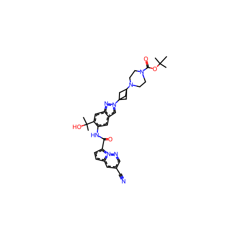 CC(C)(C)OC(=O)N1CCN(C23CC(n4cc5cc(NC(=O)c6ccc7cc(C#N)cnn67)c(C(C)(C)O)cc5n4)(C2)C3)CC1